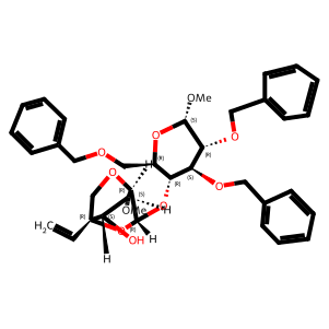 C=C[C@]12CO[C@@H]([C@H](O[C@H]3[C@H](OCc4ccccc4)[C@@H](OCc4ccccc4)[C@@H](OC)O[C@@H]3COCc3ccccc3)O1)[C@@H](OC)[C@@H]2O